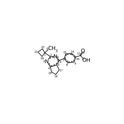 CC1(c2nc3c(c(-c4ccc(C(=O)O)cc4)n2)CCC3)CCC1